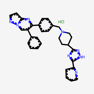 Cl.c1ccc(-c2cn3nccc3nc2-c2ccc(CN3CCC(c4n[nH]c(-c5ccccn5)n4)CC3)cc2)cc1